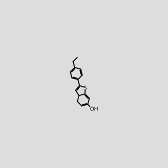 CCc1ccc(C2=CC3CC=C(O)C=C3S2)cc1